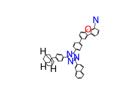 N#Cc1cccc2c1oc1ccc(-c3ccc(-c4nc(-c5ccc(C67C[C@H]8C[C@H](C6)C[C@@H](C7)C8)cc5)nc(-c5ccc6ccccc6c5)n4)cc3)cc12